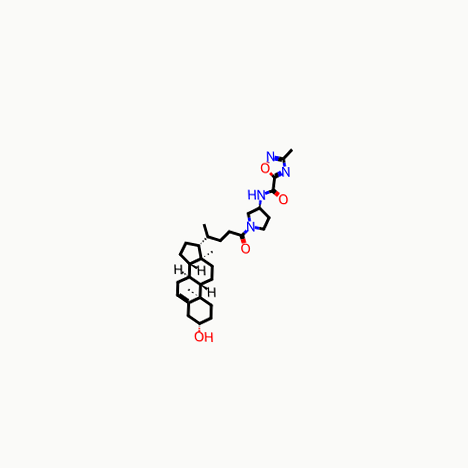 Cc1noc(C(=O)N[C@H]2CCN(C(=O)CCC(C)[C@H]3CC[C@H]4[C@@H]5CC=C6C[C@@H](O)CC[C@]6(C)[C@H]5CC[C@]34C)C2)n1